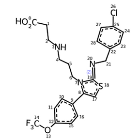 O=C(O)CCNCCCn1c(-c2ccc(OC(F)(F)F)cc2)cs/c1=N\Cc1ccc(Cl)cc1